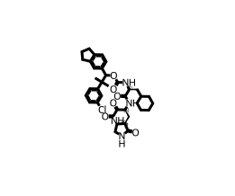 CC(C)(c1cccc(Cl)c1)C(OC(=O)N[C@@H](CC1CCCCC1)C(=O)N[C@@H](C[C@@H]1CCNC1=O)C(=O)C(N)=O)c1ccc2c(c1)CCC2